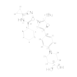 CC(C)(C)c1nc([C@@H]2CCCC[C@H]2C(=O)NC2(C#N)CC2)c(-c2ccc(N3CCS(O)(O)CC3)cc2)o1